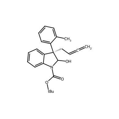 C=C=CC[C@@]1(c2ccccc2C)c2ccccc2N(C(=O)OC(C)(C)C)C1O